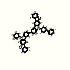 c1ccc(-c2ccc(-n3c4ccc(-c5ccc6c(c5)c5cc7c(cc5n6-c5ccccc5)oc5ccccc57)cc4c4cc5c(cc43)oc3ccccc35)cc2)cc1